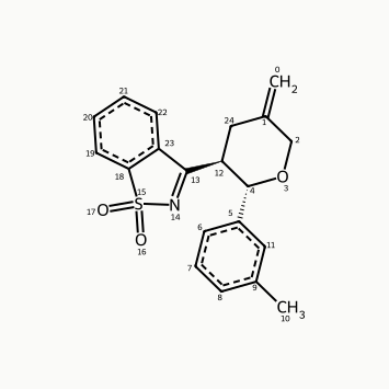 C=C1CO[C@H](c2cccc(C)c2)[C@@H](C2=NS(=O)(=O)c3ccccc32)C1